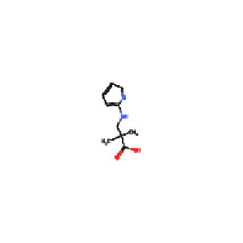 CC(C)(CNc1ccccn1)C(=O)O